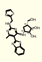 Cc1nc(NCc2nccs2)nc(N[C@@H]2C[C@H](CO)[C@@H](O)[C@H]2O)c1-c1nc2ccccc2s1